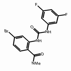 CNC(=O)c1ccc(Br)cc1NC(=O)Nc1cc(F)cc(F)c1